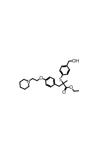 CCOC(=O)C(C)(Cc1ccc(OCCN2CCCCC2)cc1)Sc1ccc(CO)cc1